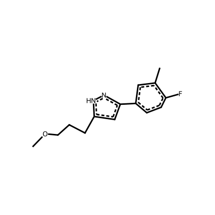 COCCCc1cc(-c2ccc(F)c(C)c2)n[nH]1